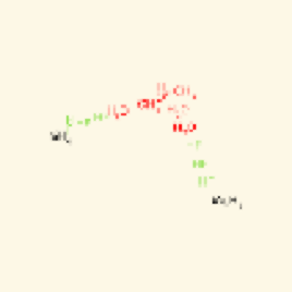 F.F.F.F.F.F.O.O.O.O.O.O.[MgH2].[SiH4]